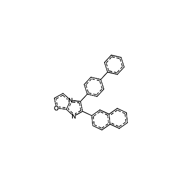 c1ccc(-c2ccc(-c3c(-c4ccc5ccccc5c4)nc4occn34)cc2)cc1